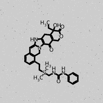 CCC1(O)C(=O)OCC2=C1CC1=C(C2=O)N2Cc3c(cccc3CC[Si](C)(C)CNC(=O)Nc3ccccc3)C=C2N1